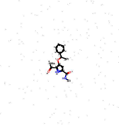 CCNC(=O)c1cc(OC(c2ccccc2)C(C)C)c(C(=O)NC)[nH]1